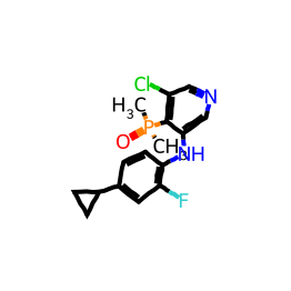 CP(C)(=O)c1c(Cl)cncc1Nc1ccc(C2CC2)cc1F